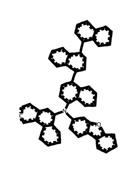 c1ccc2c(-c3ccc(-c4ccc(N(c5ccc6c(c5)oc5ccccc56)c5cc6ccccc6c6ccccc56)c5ccccc45)c4ccccc34)cccc2c1